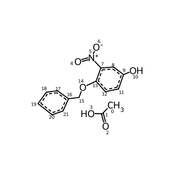 CC(=O)O.O=[N+]([O-])c1cc(O)ccc1OCc1ccccc1